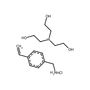 C=Cc1ccc(CN)cc1.Cl.OCCN(CCO)CCO